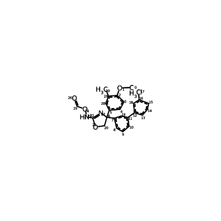 COc1ccc(C2(c3cccc(-c4cccc(Cl)c4)c3)COC(NOC=O)=N2)cc1C